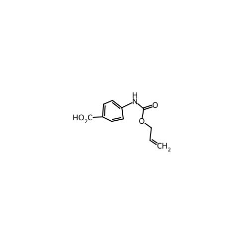 C=CCOC(=O)Nc1ccc(C(=O)O)cc1